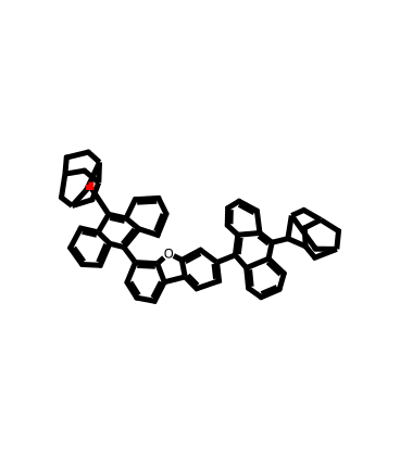 c1ccc2c(C3CC4CCC5CC4CC3C5)c3ccccc3c(-c3cccc4c3oc3cc(-c5c6ccccc6c(C6C7CC8CC(C7)CC6C8)c6ccccc56)ccc34)c2c1